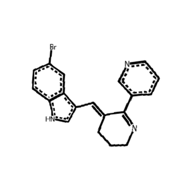 Brc1ccc2[nH]cc(C=C3CCCN=C3c3cccnc3)c2c1